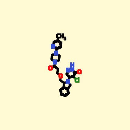 Cc1ccc(N2CCN(C(=O)CCOC[C@@H]3c4ccccc4CN3c3cn[nH]c(=O)c3Cl)CC2)nc1